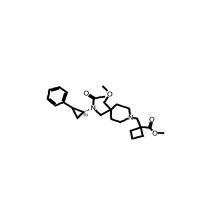 COCC1(CN(C(C)=O)[C@@H]2CC2c2ccccc2)CCN(CC2(C(=O)OC)CCC2)CC1